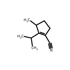 CC(C)C1=C(C#N)CCC1C